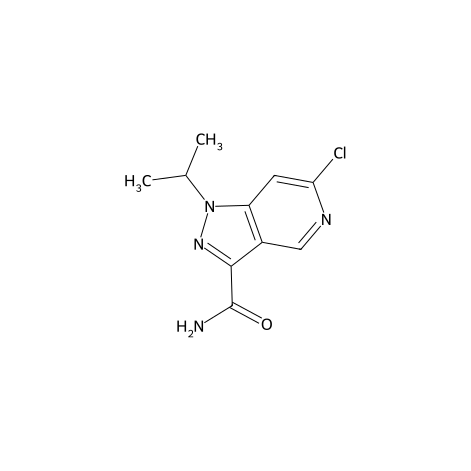 CC(C)n1nc(C(N)=O)c2cnc(Cl)cc21